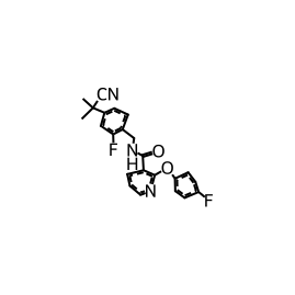 CC(C)(C#N)c1ccc(CNC(=O)c2cccnc2Oc2ccc(F)cc2)c(F)c1